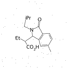 CCC(C(=O)O)C1c2cc(C)ccc2C(=O)N1CC(C)C